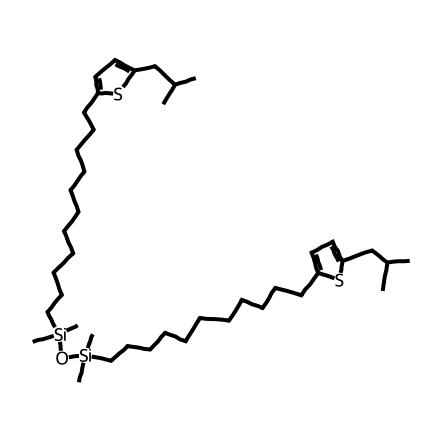 CC(C)Cc1ccc(CCCCCCCCCCC[Si](C)(C)O[Si](C)(C)CCCCCCCCCCCc2ccc(CC(C)C)s2)s1